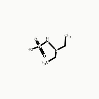 CCN(CC)NS(=O)(=O)O